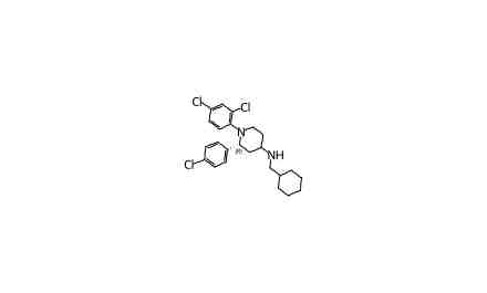 Clc1ccc([C@H]2CC(NCC3CCCCC3)CCN2c2ccc(Cl)cc2Cl)cc1